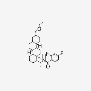 CCOC[C@H]1CC[C@H]2C(CC[C@@H]3C2CC[C@@]2(C)C3CCC[C@@H]2[C@@H](C)NC(=O)c2ccc(F)cc2F)C1